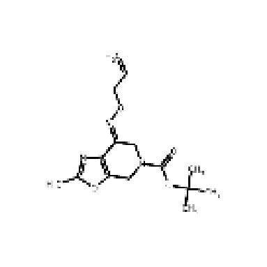 C=CCON=C1CN(C(=O)OC(C)(C)C)Cc2oc(C)nc21